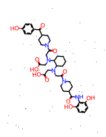 O=C(O)CN(CC(=O)N1CCC(C(=O)Nc2c(O)cccc2O)CC1)C1CCCCC1N(CC(=O)O)CC(=O)N1CCC(C(=O)c2ccc(O)cc2)CC1